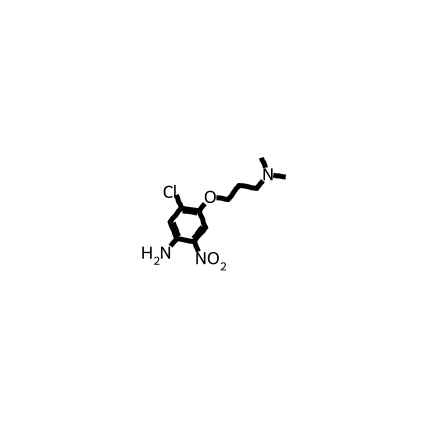 CN(C)CCCOc1cc([N+](=O)[O-])c(N)cc1Cl